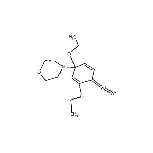 CCOC1=CC(OCC)(N2CCOCC2)C=CC1=[N+]=[N-]